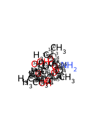 CCC1CC[C@H]([C@]2(C)CC[C@@]3(O[C@]4(C=C[C@H]3N)O[C@H](C(CC)C(=O)[C@@H](C)[C@@H](O)[C@H](C)[C@@H]3O[C@@H](C(CC)C(=O)O)CC[C@@H]3C)[C@@H](C)C[C@H]4C)O2)O[C@H]1C